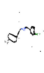 Cc1ccc(C#CCN=Cc2ccc(Cl)cc2)cc1